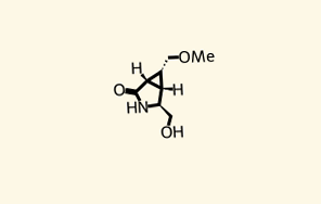 COC[C@H]1[C@H]2C(=O)N[C@H](CO)[C@@H]12